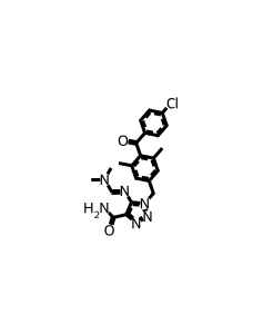 Cc1cc(Cn2nnc(C(N)=O)c2/N=C/N(C)C)cc(C)c1C(=O)c1ccc(Cl)cc1